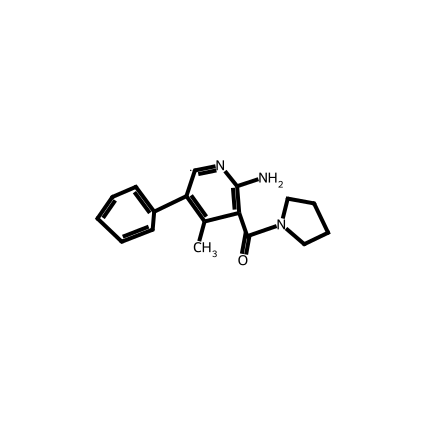 Cc1c(-c2ccccc2)[c]nc(N)c1C(=O)N1CCCC1